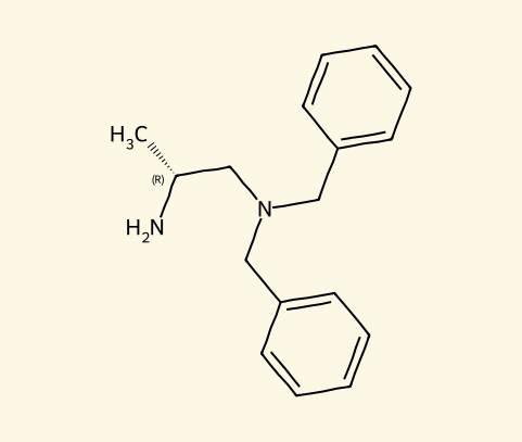 C[C@@H](N)CN(Cc1ccccc1)Cc1ccccc1